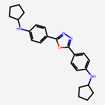 c1cc(-c2nnc(-c3ccc(NC4CCCC4)cc3)o2)ccc1NC1CCCC1